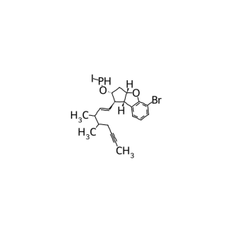 CC#CCC(C)C(C)/C=C/[C@@H]1[C@H]2c3cccc(Br)c3O[C@H]2C[C@H]1OPI